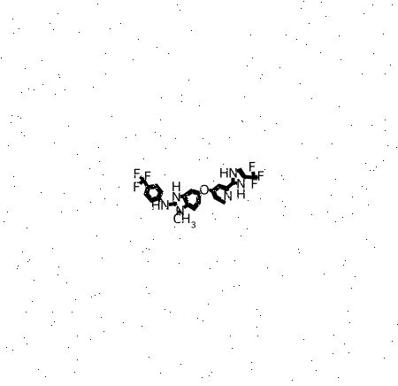 CN1c2ccc(Oc3ccnc(C4NC=C(C(F)(F)F)N4)c3)cc2NC1Nc1ccc(C(F)(F)F)cc1